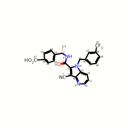 C[C@H](NC(=O)c1c(C#N)c2ncccc2n1Cc1cccc(C(F)(F)F)c1)c1ccc(C(=O)O)cc1